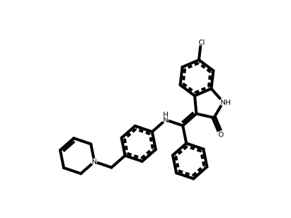 O=C1Nc2cc(Cl)ccc2C1=C(Nc1ccc(CN2CC=CCC2)cc1)c1ccccc1